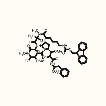 CCC(C)C(C(CC(=O)N1CCC[C@H]1C(OC)C(C)C(=O)NC(Cc1ccccc1)C(=O)O)OC)N(C)C(=O)C(NC(=O)C(C)(C)N(C)C(=O)CCCCCNC(=O)OCC1c2ccccc2-c2ccccc21)C(C)C